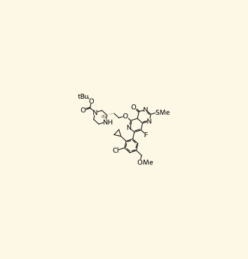 COCc1cc(Cl)c(C2CC2)c(C2=C(F)C3=NC(SC)=NC(=O)C3C(OCC[C@H]3CN(C(=O)OC(C)(C)C)CCN3)=N2)c1